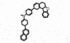 CN(C1=CCC(c2ccc3ccccc3c2)CC1)C1C=CC(C2C=CC3=C(C2)C2c4ccccc4OC2CC3)=CC1